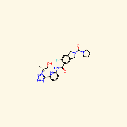 C[C@H](CO)n1nnnc1-c1cccc(NC(=O)c2cc3c(cc2F)CN(C(=O)N2CCCC2)C3)n1